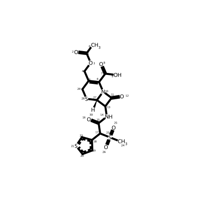 CC(=O)OCC1=C(C(=O)O)N2C(=O)C(NC(=O)C(c3ccsc3)S(C)(=O)=O)[C@@H]2SC1